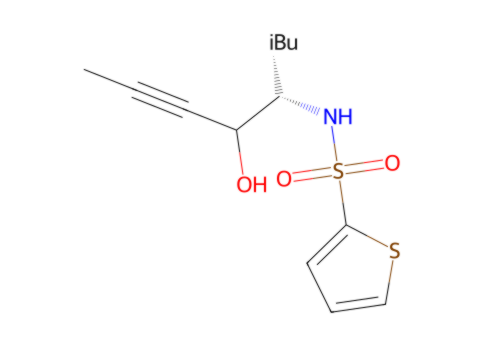 CC#CC(O)[C@@H](NS(=O)(=O)c1cccs1)[C@@H](C)CC